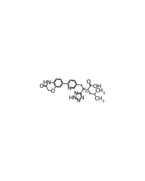 CC(C)C[C@H](C(=O)O)[C@H](Cc1ccc(-c2ccc3c(c2)OCC(=O)N3)nc1)c1nn[nH]n1